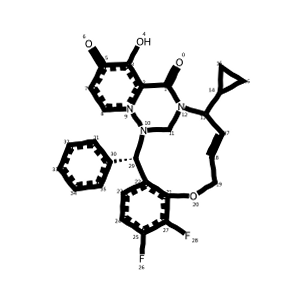 O=C1c2c(O)c(=O)ccn2N2CN1C(C1CC1)/C=C/COc1c(ccc(F)c1F)[C@@H]2c1ccccc1